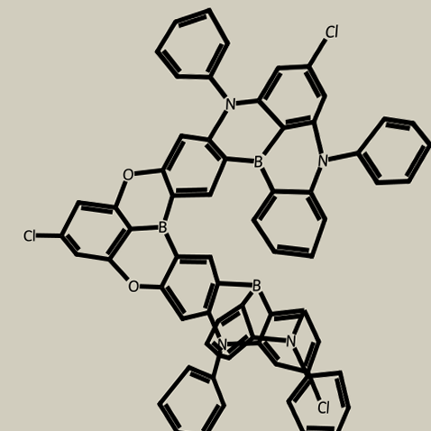 Clc1cc2c3c(c1)Oc1cc4c(cc1B3c1cc3c(cc1O2)N(c1ccccc1)c1cc(Cl)cc2c1B3c1ccccc1N2c1ccccc1)B1c2ccccc2N(c2ccccc2)c2cc(Cl)cc(c21)N4c1ccccc1